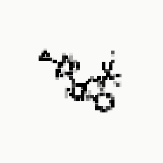 CCOC(=O)N1Cc2c(-c3nc(C4CC4)no3)ncn2-c2ccccc21